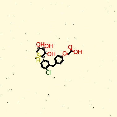 C[SH]1C[C@@H](O)[C@@H](O)[C@@H](O)[C@@H]1c1ccc(Cl)c(Cc2ccc(OCC(=O)O)cc2)c1